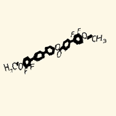 CCCOc1ccc(C2CCC(C(=O)OC3CCC(C4CC=C(c5ccc(OCC)c(F)c5F)CC4)CC3)CC2)c(F)c1F